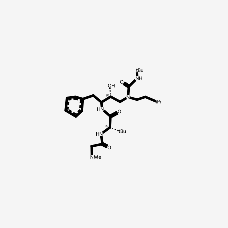 CNCC(=O)N[C@H](C(=O)NC(Cc1ccccc1)[C@H](O)CN(CCC(C)C)C(=O)NC(C)(C)C)C(C)(C)C